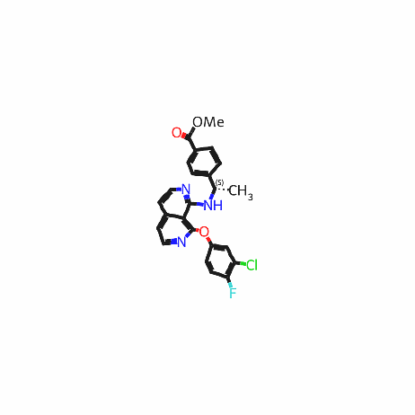 COC(=O)c1ccc([C@H](C)Nc2nccc3ccnc(Oc4ccc(F)c(Cl)c4)c23)cc1